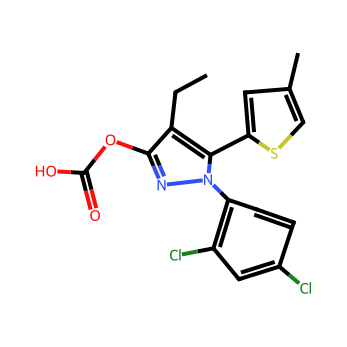 CCc1c(OC(=O)O)nn(-c2ccc(Cl)cc2Cl)c1-c1cc(C)cs1